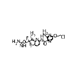 C[C@@H](c1nc(NC(=O)c2ncc(OCCCl)nc2N)ccc1F)C(F)(F)COC(=N)N